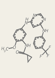 COc1ccc(Nc2cc(Nc3cccc(C(F)(F)F)c3)ncn2)cc1NC(=O)C1CC1